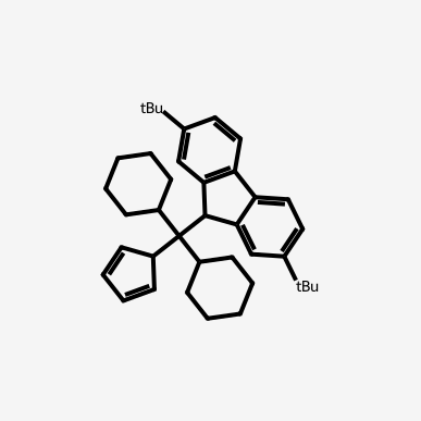 CC(C)(C)c1ccc2c(c1)C(C(C1C=CC=C1)(C1CCCCC1)C1CCCCC1)c1cc(C(C)(C)C)ccc1-2